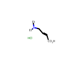 CCN(CC)CC=CC(=O)O.Cl